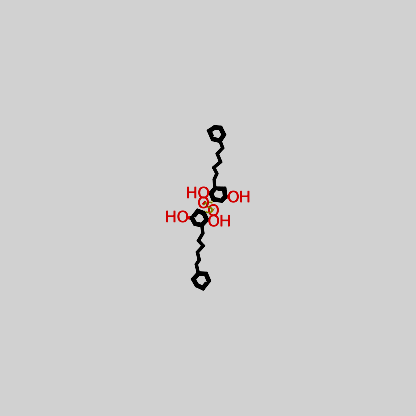 O=S(=O)(c1cc(O)cc(CCCCCCc2ccccc2)c1O)c1cc(O)cc(CCCCCCc2ccccc2)c1O